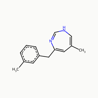 CC1=CNC=NC(Cc2cccc(C)c2)=C1